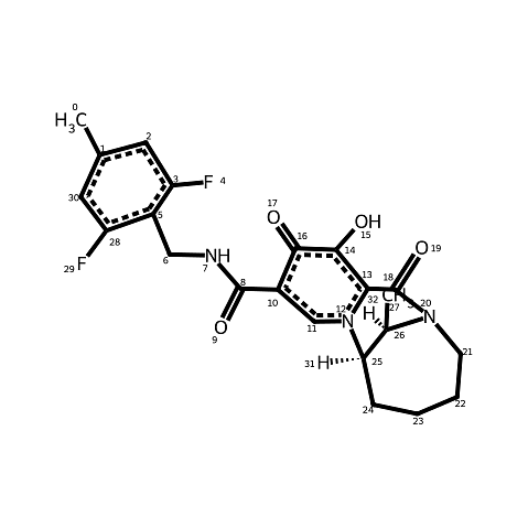 Cc1cc(F)c(CNC(=O)c2cn3c(c(O)c2=O)C(=O)N2CCCC[C@@H]3[C@H]2C)c(F)c1